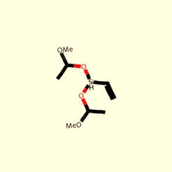 C=C[SiH](OC(C)OC)OC(C)OC